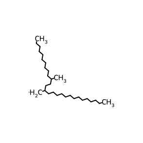 [CH2]C(CCCCCCCCCCCCCC)CCC(C)CCCCCCCCCC